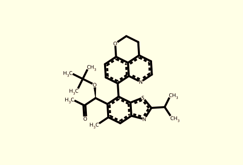 CC(=O)[C@@H](OC(C)(C)C)c1c(C)cc2nc(C(C)C)sc2c1-c1ccc2c3c(ccnc13)CCO2